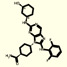 NC(=O)[C@H]1CC[C@H](n2c(Nc3c(F)cccc3F)nc3cnc(N[C@@H]4CCC[C@H](O)C4)nc32)CC1